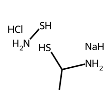 CC(N)S.Cl.NS.[NaH]